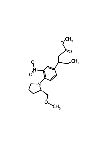 CCC(CC(=O)OC)c1ccc(N2CCC[C@@H]2COC)c([N+](=O)[O-])c1